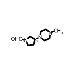 CN1CCN([C@H]2CCN(C=O)C2)CC1